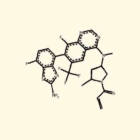 C=CC(=O)N1CC(N(C)c2ncnc3c(F)c(-c4ccc(F)c5sc(N)nc45)c(C(F)(F)F)cc23)CC1C